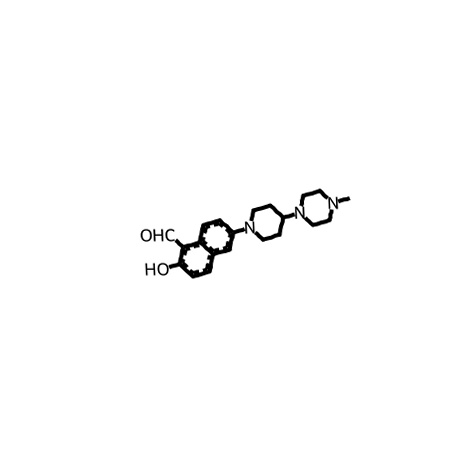 CN1CCN(C2CCN(c3ccc4c(C=O)c(O)ccc4c3)CC2)CC1